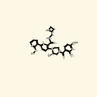 CCOc1ncccc1-c1ccc(N2CCN(C(=O)c3ccc(OC)nc3C(F)(F)F)C[C@H]2CC)c(C(=O)NC[C@@H]2CCN2)n1